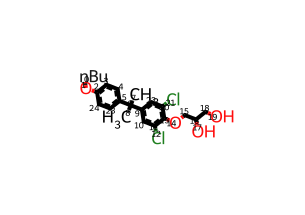 CCCCOc1ccc(C(C)(C)c2cc(Cl)c(OCC(O)CO)c(Cl)c2)cc1